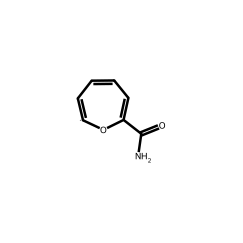 NC(=O)C1=CC=CC=[C]O1